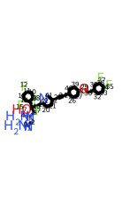 N/N=C\N(N)CC(O)(c1ccc(F)cc1F)C(F)(F)c1ccc(C#Cc2ccc(OCc3ccc(F)c(F)c3)cc2)cn1